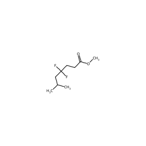 COC(=O)CCC(F)(F)CC(C)C